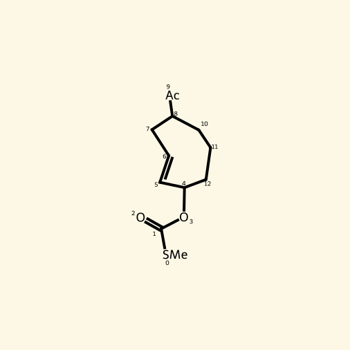 CSC(=O)OC1/C=C/CC(C(C)=O)CCC1